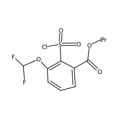 CC(C)OC(=O)c1cccc(OC(F)F)c1S(=O)(=O)Cl